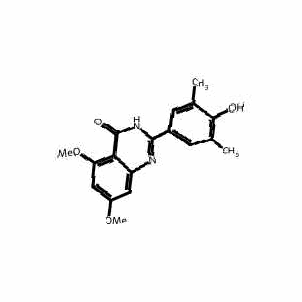 COc1cc(OC)c2c(=O)[nH]c(-c3cc(C)c(O)c(C)c3)nc2c1